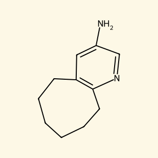 Nc1cnc2c(c1)CCCCCC2